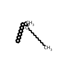 CCCCCCCCCCCCCCCCOC(=O)c1c(CC)ccc2cc3cc4cc5cc6ccccc6cc5cc4cc3cc12